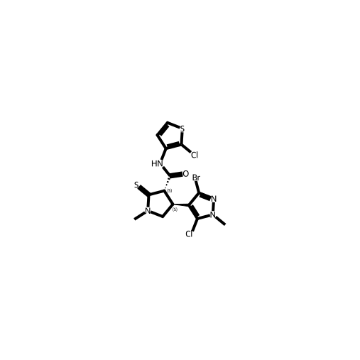 CN1C[C@H](c2c(Br)nn(C)c2Cl)[C@@H](C(=O)Nc2ccsc2Cl)C1=S